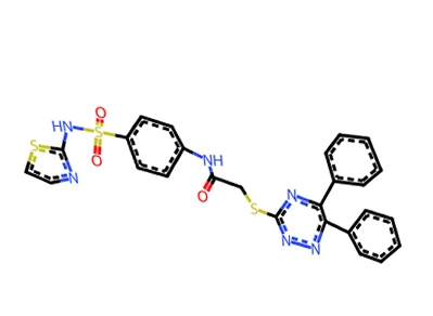 O=C(CSc1nnc(-c2ccccc2)c(-c2ccccc2)n1)Nc1ccc(S(=O)(=O)Nc2nccs2)cc1